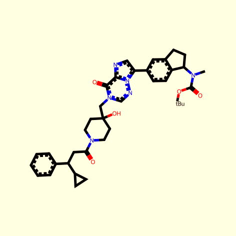 CN(C(=O)OC(C)(C)C)C1CCc2cc(-c3cnc4c(=O)n(CC5(O)CCN(C(=O)CC(c6ccccc6)C6CC6)CC5)cnn34)ccc21